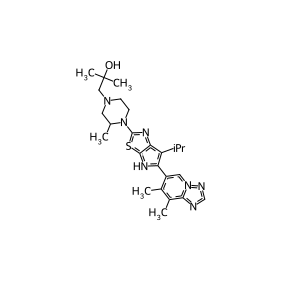 Cc1c(-c2[nH]c3sc(N4CCN(CC(C)(C)O)CC4C)nc3c2C(C)C)cn2ncnc2c1C